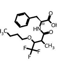 CCCCOC(C(C)C(=O)N[C@@H](Cc1ccccc1)C(=O)O)C(F)(F)F